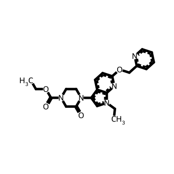 CCOC(=O)N1CCN(c2cn(CC)c3nc(OCc4ccccn4)ccc23)C(=O)C1